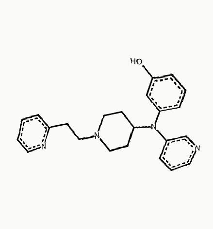 Oc1cccc(N(c2cccnc2)C2CCN(CCc3ccccn3)CC2)c1